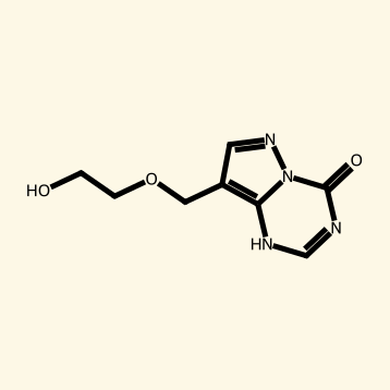 O=c1nc[nH]c2c(COCCO)cnn12